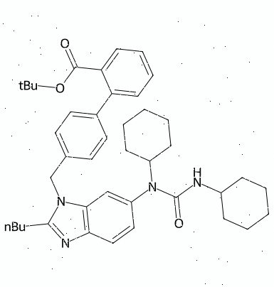 CCCCc1nc2ccc(N(C(=O)NC3CCCCC3)C3CCCCC3)cc2n1Cc1ccc(-c2ccccc2C(=O)OC(C)(C)C)cc1